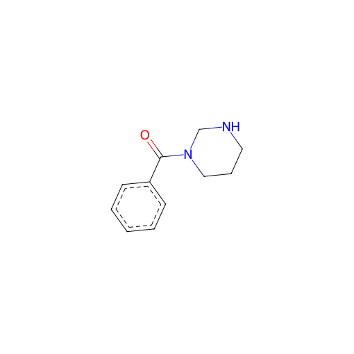 O=C(c1ccccc1)N1CCCNC1